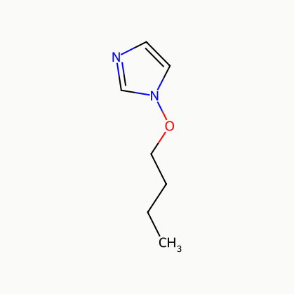 CCCCOn1ccnc1